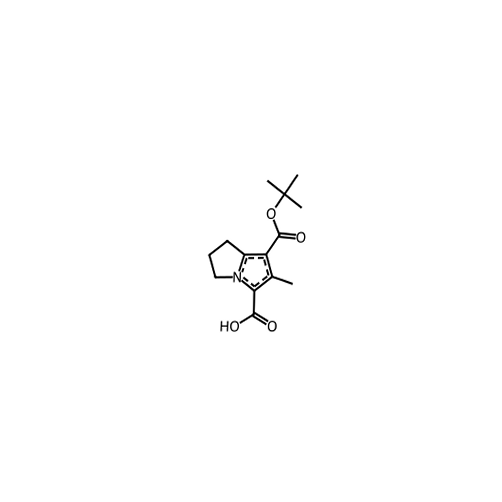 Cc1c(C(=O)OC(C)(C)C)c2n(c1C(=O)O)CCC2